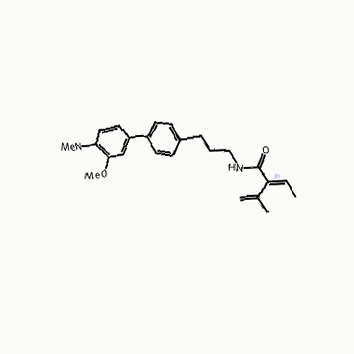 C=C(C)/C(=C\C)C(=O)NCCCc1ccc(-c2ccc(NC)c(OC)c2)cc1